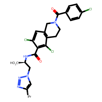 CC(C)c1cn(C[C@H](NC(=O)c2c(Cl)cc3c(c2Cl)CCN(C(=O)c2ccc(Cl)cc2)C3)C(=O)O)nn1